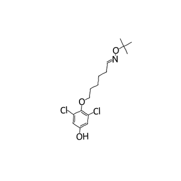 CC(C)(C)O/N=C/CCCCCOc1c(Cl)cc(O)cc1Cl